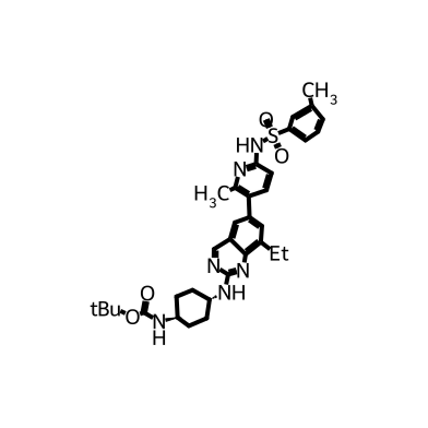 CCc1cc(-c2ccc(NS(=O)(=O)c3cccc(C)c3)nc2C)cc2cnc(N[C@H]3CC[C@H](NC(=O)OC(C)(C)C)CC3)nc12